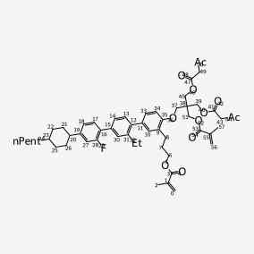 C=C(C)C(=O)OCCCc1cc(-c2ccc(-c3ccc(C4CCC(CCCCC)CC4)cc3F)cc2CC)ccc1OCC(COC(=O)CC(C)=O)(COC(=O)CC(C)=O)COC(=O)C(=C)C